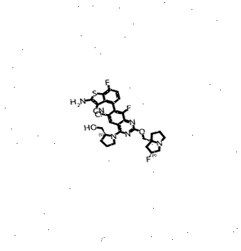 N#Cc1c(N)sc2c(F)ccc(-c3c(Cl)cc4c(N5CCC[C@H]5CO)nc(OC[C@@]56CCCN5C[C@H](F)C6)nc4c3F)c12